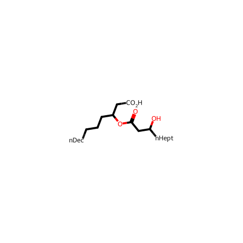 CCCCCCCCCCCCCC(CC(=O)O)OC(=O)CC(O)CCCCCCC